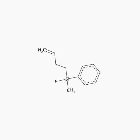 C=CCC[Si](C)(F)c1ccccc1